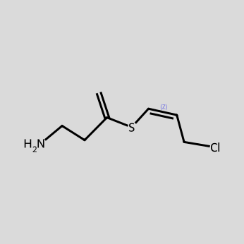 C=C(CCN)S/C=C\CCl